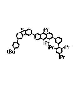 CC(C)c1cc(C(C)C)c(-c2cccc(-c3ccc4c(C(C)C)c5cc(-c6ccc7sc8ccc(-c9ccc(C(C)(C)C)cc9)cc8c7c6)ccc5c(C(C)C)c4c3)c2)c(C(C)C)c1